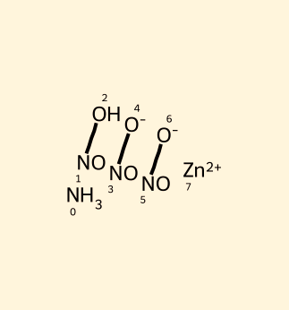 N.O=NO.O=N[O-].O=N[O-].[Zn+2]